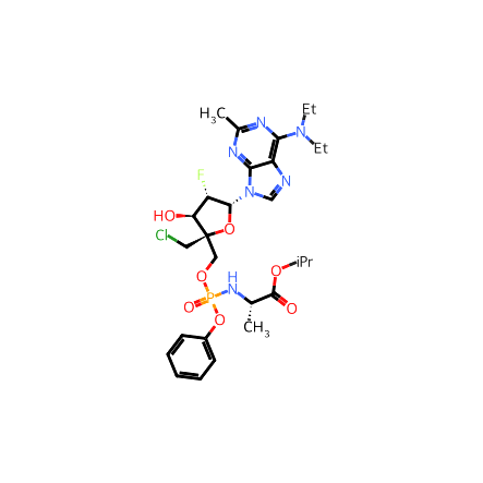 CCN(CC)c1nc(C)nc2c1ncn2[C@@H]1O[C@](CCl)(COP(=O)(N[C@@H](C)C(=O)OC(C)C)Oc2ccccc2)[C@@H](O)[C@@H]1F